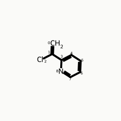 C=C(Cl)c1ccccn1